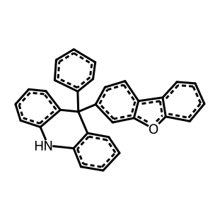 c1ccc(C2(c3ccc4c(c3)oc3ccccc34)c3ccccc3Nc3ccccc32)cc1